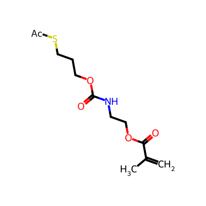 C=C(C)C(=O)OCCNC(=O)OCCCSC(C)=O